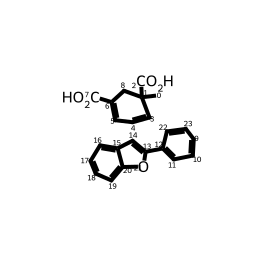 CC1(C(=O)O)C=CC=C(C(=O)O)C1.c1ccc(-c2cc3ccccc3o2)cc1